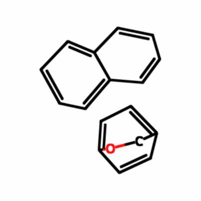 c1cc2ccc1CO2.c1ccc2ccccc2c1